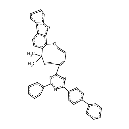 CC1(C)/C=C/C(c2nc(-c3ccccc3)nc(-c3ccc(-c4ccccc4)cc3)n2)=C\C=C\Oc2c1ccc1c2oc2ccccc21